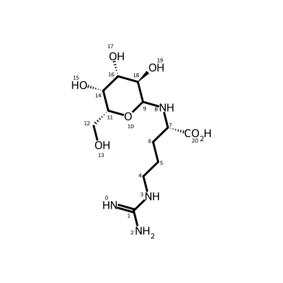 N=C(N)NCCC[C@H](NC1O[C@H](CO)[C@H](O)[C@H](O)[C@H]1O)C(=O)O